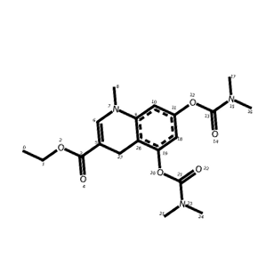 CCOC(=O)C1=CN(C)c2cc(OC(=O)N(C)C)cc(OC(=O)N(C)C)c2C1